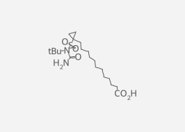 CC(C)(C)N(C(N)=O)S(=O)(=O)C1(CCCCCCCCCCCC(=O)O)CC1